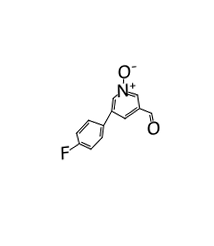 O=Cc1cc(-c2ccc(F)cc2)c[n+]([O-])c1